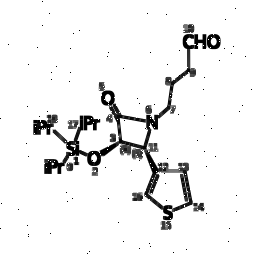 CC(C)[Si](O[C@H]1C(=O)N(CCCC=O)[C@H]1c1ccsc1)(C(C)C)C(C)C